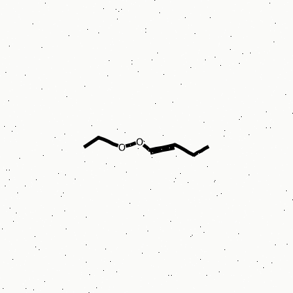 CCC=COOCC